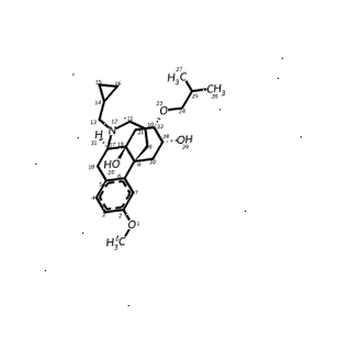 COc1ccc2c(c1)[C@]13CCCN(CC4CC4)[C@H](C2)[C@]1(O)C[C@H](OCC(C)C)[C@H](O)C3